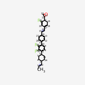 C/C=C/C1CCC(c2ccc(-c3ccc(/C=C/C4=CCC(C5CO5)C(F)=C4)cc3)c(F)c2F)CC1